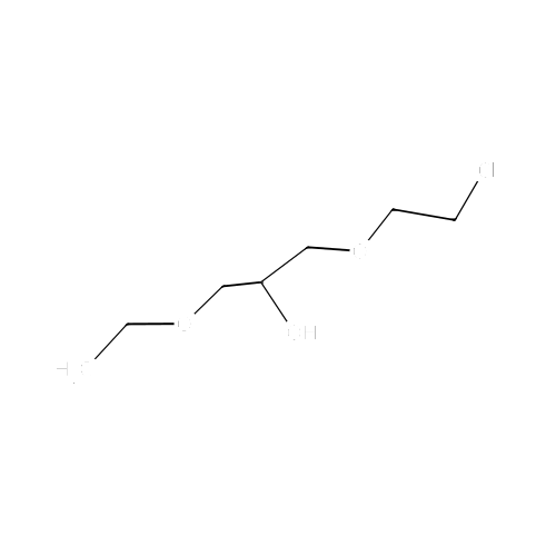 [CH2]COCC(O)COCCCl